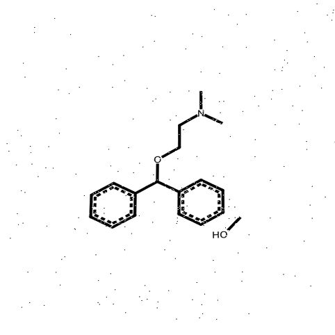 CN(C)CCOC(c1ccccc1)c1ccccc1.CO